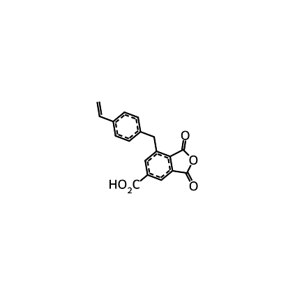 C=Cc1ccc(Cc2cc(C(=O)O)cc3c2C(=O)OC3=O)cc1